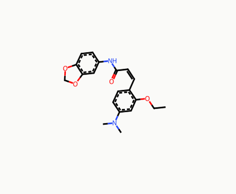 CCOc1cc(N(C)C)ccc1/C=C\C(=O)Nc1ccc2c(c1)OCO2